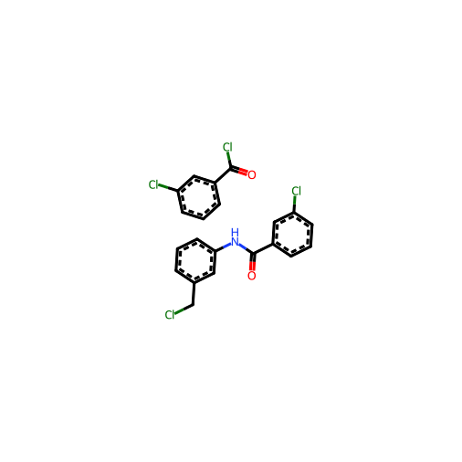 O=C(Cl)c1cccc(Cl)c1.O=C(Nc1cccc(CCl)c1)c1cccc(Cl)c1